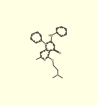 Cc1cc2c(c(OCCN(C)C)n1)c(=O)cc(Nc1ccccc1)n2-c1ccccc1